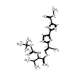 C=C(O/C=C(\N)c1nc(-c2nc(C(=O)OC)co2)co1)C(NC(=O)OC(C)(C)C)C(C)C